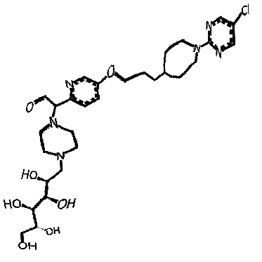 O=CC(c1ccc(OCCCC2CCN(c3ncc(Cl)cn3)CC2)cn1)N1CCN(C[C@H](O)[C@@H](O)[C@H](O)[C@H](O)CO)CC1